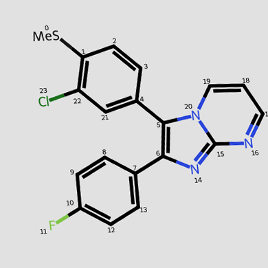 CSc1ccc(-c2c(-c3ccc(F)cc3)nc3ncccn23)cc1Cl